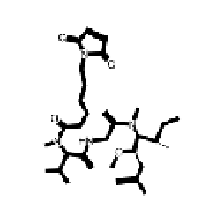 C=C(C)C[C@@H](OC)[C@H]([C@@H](C)CC)N(C)C(=C)CNC(=C)C(C(C)C)N(C)C(=O)CCCCCN1C(=O)C=CC1=O